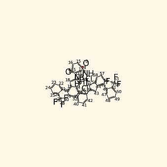 O=CN[B](NC=O)[Hf]([Cl])([Cl])([CH]1C(c2ccccc2)=Cc2c(-c3ccccc3C(F)(F)F)cccc21)[CH]1C(c2ccccc2)=Cc2c(-c3ccccc3C(F)(F)F)cccc21